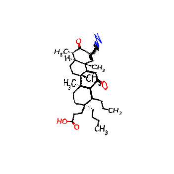 CCCC[C@]1(CCC(=O)O)CC[C@]2(C)C(C(=O)C=C3[C@@]4(C)C=C(C#N)C(=O)[C@@H](C)[C@@H]4CC[C@]32C)C1CCC